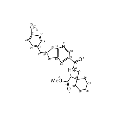 COC(=O)CC1(CNC(=O)c2cnc3c(c2)CN(Cc2ccc(C(F)(F)F)cc2)C3)CCCCC1